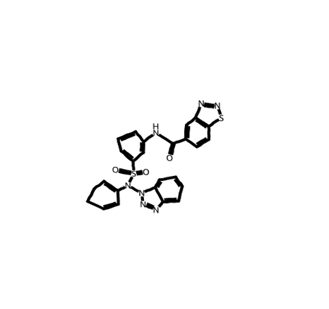 O=C(Nc1cccc(S(=O)(=O)N(C2=CCCC=C2)n2nnc3ccccc32)c1)c1ccc2snnc2c1